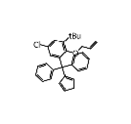 C=CCOc1c(C(C)(C)C)cc(Cl)cc1C(C1=CCC=C1)(c1ccccc1)c1ccccc1